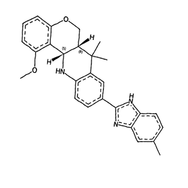 COc1cccc2c1[C@H]1Nc3ccc(-c4nc5cc(C)ccc5[nH]4)cc3C(C)(C)[C@H]1CO2